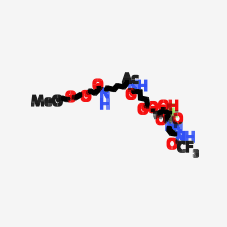 COCCOCCOCCC(=O)NCCCCC(NC(=O)CCCC(=O)OC[C@H]1O[C@@H](n2ccc(NC(=O)C(F)(F)F)nc2=O)C(F)(F)C1O)C(C)=O